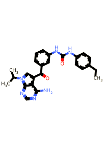 CCc1ccc(NC(=O)Nc2cccc(C(=O)c3cn(C(C)C)c4ncnc(N)c34)c2)cc1